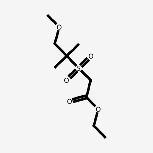 CCOC(=O)CS(=O)(=O)C(C)(C)COC